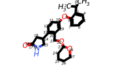 CC(C)c1ccccc1Oc1ccc(C2CNC(=O)C2)c(COC2CCCCO2)c1